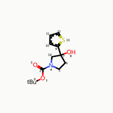 CC(C)(C)OC(=O)N1CCC(O)(c2cccs2)C1